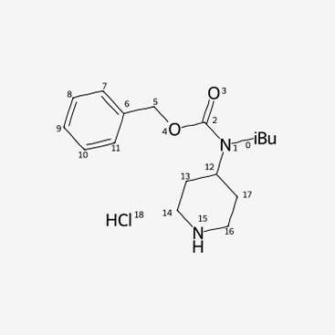 CCC(C)N(C(=O)OCc1ccccc1)C1CCNCC1.Cl